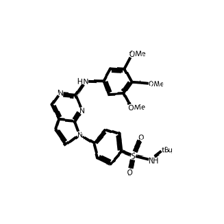 COc1cc(Nc2ncc3ccn(-c4ccc(S(=O)(=O)NC(C)(C)C)cc4)c3n2)cc(OC)c1OC